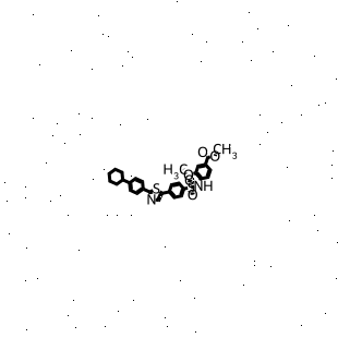 COC(=O)c1ccc(NS(=O)(=O)c2ccc(-c3cnc(-c4ccc(C5CCCCC5)cc4)s3)cc2)c(OC)c1